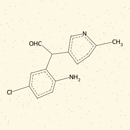 Cc1ccc(C(C=O)c2cc(Cl)ccc2N)cn1